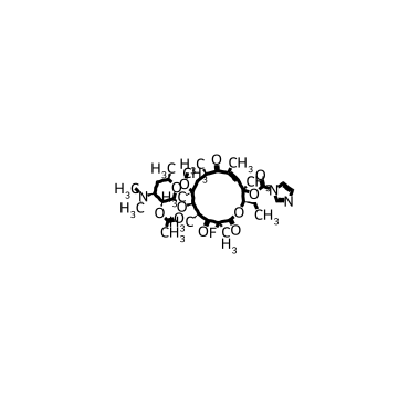 CC[C@H]1OC(=O)[C@](C)(F)C(=O)[C@H](C)[C@@H](O[C@H]2O[C@H](C)C[C@H](N(C)C)[C@H]2OC(C)=O)[C@@](C)(OC)C[C@@H](C)C(=O)/C(C)=C\[C@]1(C)OC(=O)n1ccnc1